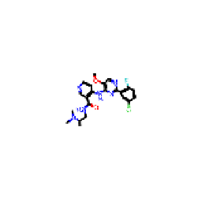 COc1cnc(-c2cc(Cl)ccc2F)nc1Nc1ccncc1C(=O)NCC(C)N(C)C